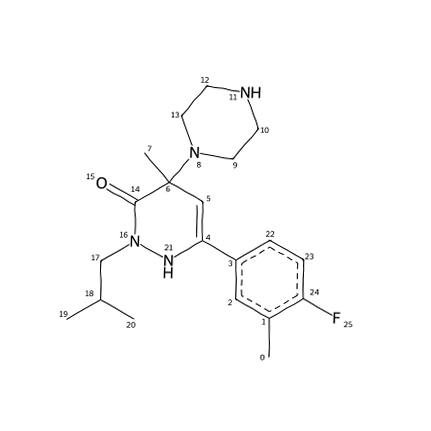 Cc1cc(C2=CC(C)(N3CCNCC3)C(=O)N(CC(C)C)N2)ccc1F